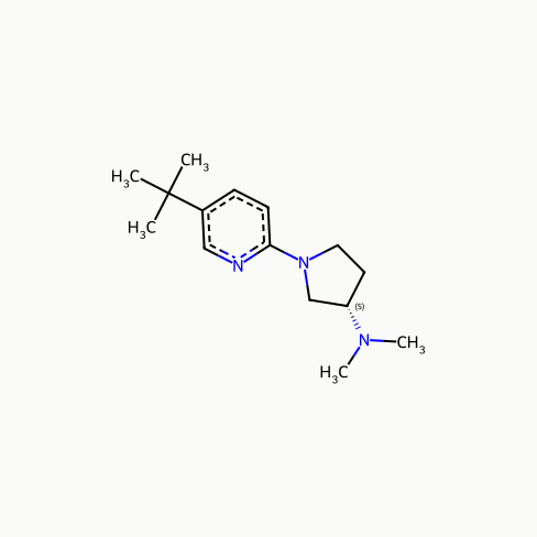 CN(C)[C@H]1CCN(c2ccc(C(C)(C)C)cn2)C1